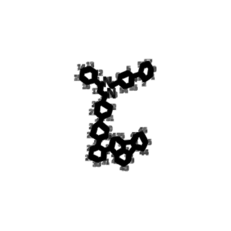 c1ccc(-c2ccc(-c3nc(-c4ccccc4)cc(-c4ccc(-c5ccc(-c6ccccc6-c6ccc7c8c(cccc68)-c6ccccc6-7)cc5)cc4)n3)cc2)cc1